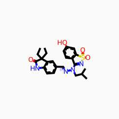 CCC1(CC)C(=O)Nc2ccc(/C=N/N(CC(C)C)C3=NS(=O)(=O)c4cc(O)ccc43)cc21